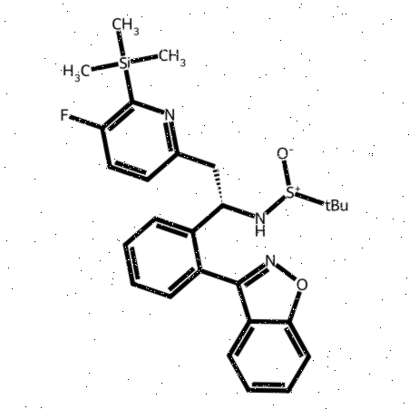 CC(C)(C)[S+]([O-])N[C@@H](Cc1ccc(F)c([Si](C)(C)C)n1)c1ccccc1-c1noc2ccccc12